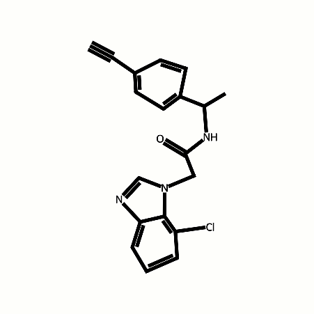 C#Cc1ccc(C(C)NC(=O)Cn2cnc3cccc(Cl)c32)cc1